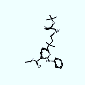 CCOC(=O)c1ccc(C(C)(C)CCNC(=O)OC(C)(C)C)nc1Nc1ccccc1